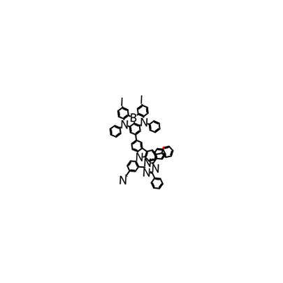 N#Cc1ccc(-n2c3ccc(-c4ccccc4)cc3c3cc(-c4cc5c6c(c4)N(c4ccccc4)c4ccc(I)cc4B6c4cc(I)ccc4N5c4ccccc4)ccc32)c(-c2nc(-c3ccccc3)nc(-c3ccccc3)n2)c1